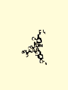 CCCc1ccc(NC2N(N)C(=O)N(C[C@H](C)C(=O)N=O)C(=O)N2Cc2ccc(C)cc2)cc1Cl